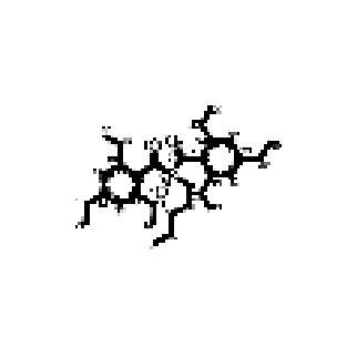 CCCCCP(=O)(C(=O)c1c(CC)cc(CC)cc1CC)C(=O)c1c(CC)cc(CC)cc1CC